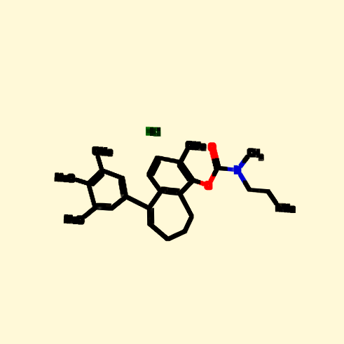 CNCCN(C)C(=O)Oc1c(OC)ccc2c1CCCC=C2c1cc(OC)c(OC)c(OC)c1.Cl